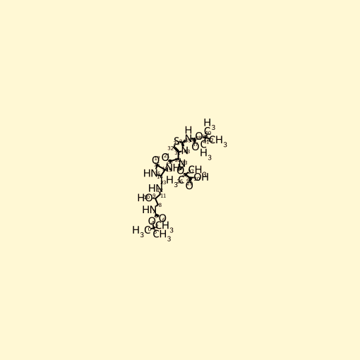 CC(C)(C)OC(=O)NC[C@@H](O)CNC[C@H]1NC(=O)[C@H]1NC(=O)C(=NOC(C)(C)C(=O)O)c1csc(NC(=O)OC(C)(C)C)n1